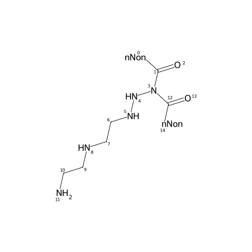 CCCCCCCCCC(=O)N(NNCCNCCN)C(=O)CCCCCCCCC